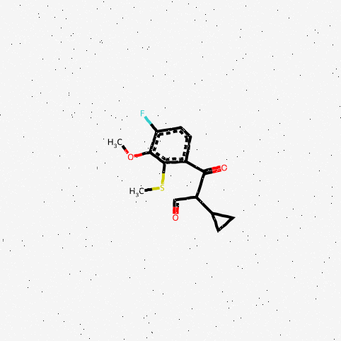 COc1c(F)ccc(C(=O)C(C=O)C2CC2)c1SC